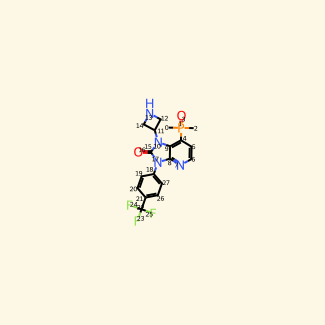 CP(C)(=O)c1ccnc2c1n(C1CNC1)c(=O)n2-c1ccc(C(F)(F)F)cc1